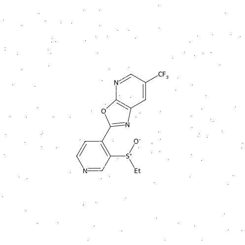 CC[S+]([O-])c1cnccc1-c1nc2cc(C(F)(F)F)cnc2o1